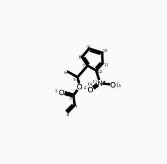 C=CC(=O)OC(C)c1ccccc1[N+](=O)[O-]